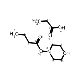 CCC(=O)O.CCCC(=O)ON1CCOCC1